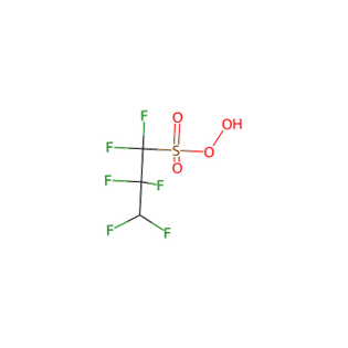 O=S(=O)(OO)C(F)(F)C(F)(F)C(F)F